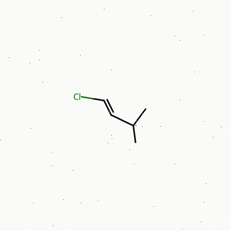 C[C](C)C=CCl